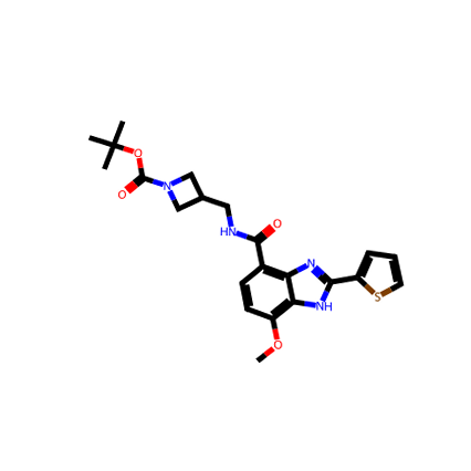 COc1ccc(C(=O)NCC2CN(C(=O)OC(C)(C)C)C2)c2nc(-c3cccs3)[nH]c12